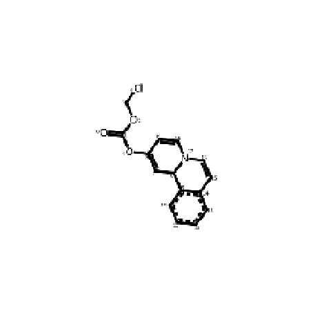 O=C(OCCl)OC1=CC2c3ccccc3C=CN2C=C1